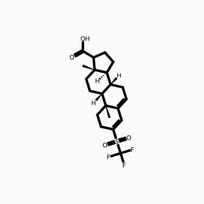 C[C@]12CCC(S(=O)(=O)C(F)(F)F)=CC1=CC[C@@H]1[C@H]2CC[C@]2(C)C(C(=O)O)CC[C@@H]12